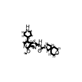 COc1ncc(C2CCNCC2)c2sc(NC(=O)N3CCC4(CCOCC4)C3)nc12